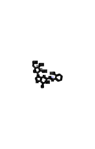 O=c1[nH]c(/N=N/c2ccccc2O)nc2c1ncn2C1OC(CO)[C@@H](O)[C@H]1O